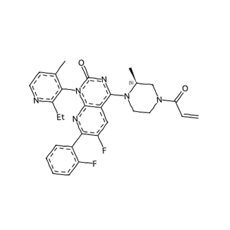 C=CC(=O)N1CCN(c2nc(=O)n(-c3c(C)ccnc3CC)c3nc(-c4ccccc4F)c(F)cc23)[C@@H](C)C1